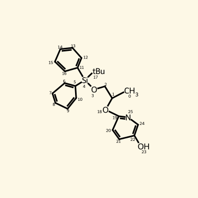 CC(CO[Si](c1ccccc1)(c1ccccc1)C(C)(C)C)Oc1ccc(O)cn1